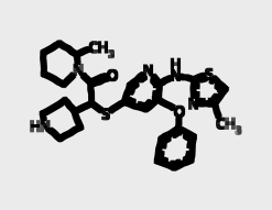 Cc1csc(Nc2ncc(SC(C(=O)N3CCCCC3C)C3CCNCC3)cc2Oc2ccccc2)n1